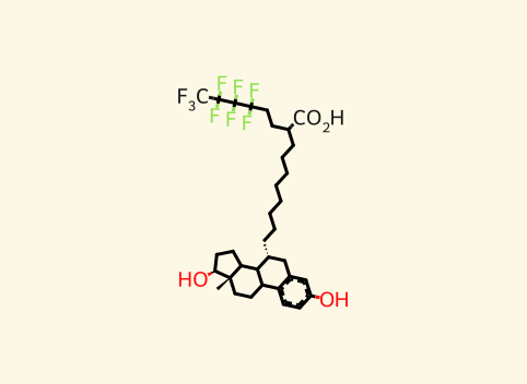 C[C@]12CCC3c4ccc(O)cc4C[C@@H](CCCCCCCCC(CCC(F)(F)C(F)(F)C(F)(F)C(F)(F)F)C(=O)O)C3C1CC[C@@H]2O